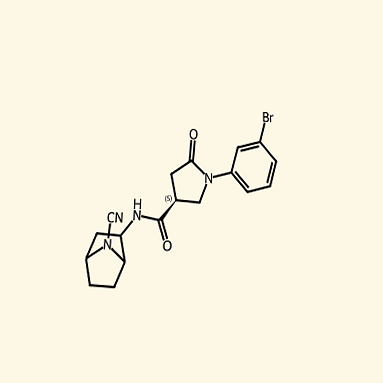 N#CN1C2CCC1C(NC(=O)[C@H]1CC(=O)N(c3cccc(Br)c3)C1)C2